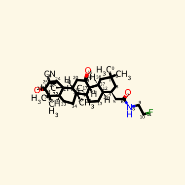 CC1(C)C[C@@H](CC(=O)NCCF)[C@H]2CC[C@]3(C)[C@H](C(=O)C[C@@H]4[C@@]5(C)C=C(C#N)C(=O)C(C)(C)[C@@H]5CC[C@]43C)[C@H]2C1